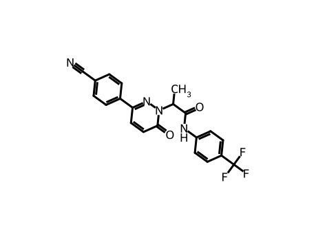 CC(C(=O)Nc1ccc(C(F)(F)F)cc1)n1nc(-c2ccc(C#N)cc2)ccc1=O